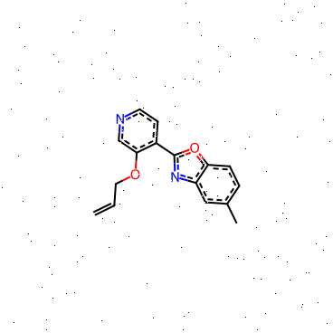 C=CCOc1cnccc1-c1nc2cc(C)ccc2o1